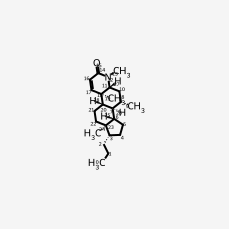 CCC[C@H]1CC[C@H]2[C@@H]3[C@@H](C)C[C@H]4N(C)C(=O)C=C[C@]4(C)[C@H]3CC[C@]12C